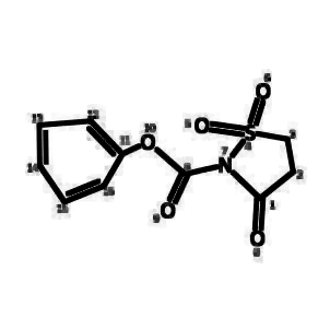 O=C1CCS(=O)(=O)N1C(=O)Oc1ccccc1